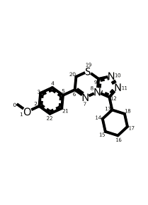 COc1ccc(C2=Nn3c(nnc3C3CCCCC3)SC2)cc1